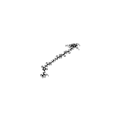 CC(C)(C)CC(CO)OC(COC(=O)NCCC(=O)NCCNC(=O)CCOCCOCCNC(=O)CCN1C(=O)CC(SCC(N)C(=O)O)C1=O)OC(C)(C)C